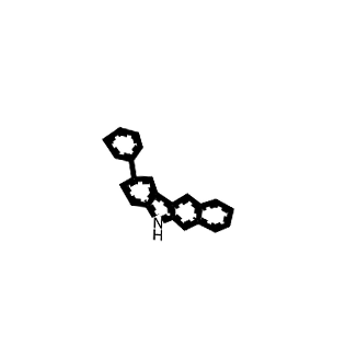 c1ccc(-c2ccc3[nH]c4cc5ccccc5cc4c3c2)cc1